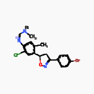 CCN(C)/C=N\c1cc(C)c(C2CC(c3ccc(Br)cc3)=NO2)cc1Cl